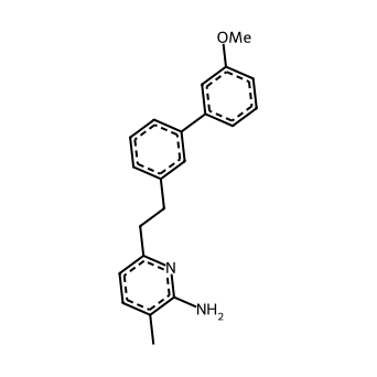 COc1cccc(-c2cccc(CCc3ccc(C)c(N)n3)c2)c1